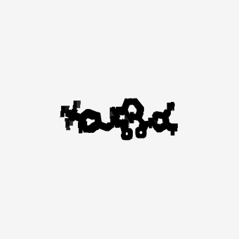 O=C([C@@H]1CCCc2nn(Cc3ccc(C(F)(F)F)nc3)c(=O)n21)N1CC(F)C(F)C1